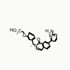 C[C@H](c1cccc(OCC(=O)O)c1)n1ncc2ccc(-c3ccnc(N)n3)cc2c1=O